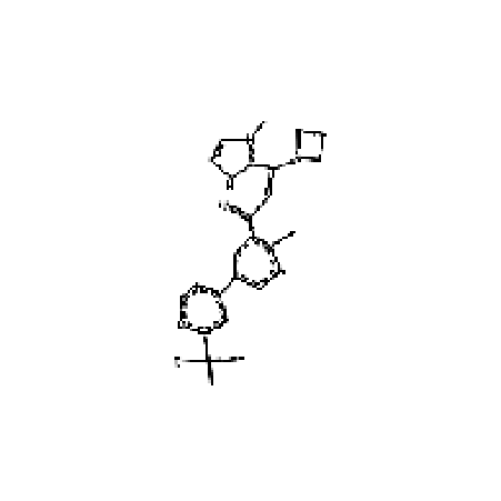 Cc1ncc(-c2ccnc(C(C)(F)F)c2)cc1C(=N)/C=C(\C1NC=CN1C)N1CCC1